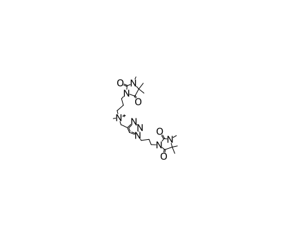 CN1C(=O)N(CCCn2cc(C[N+](C)(C)CCCN3C(=O)N(C)C(C)(C)C3=O)nn2)C(=O)C1(C)C